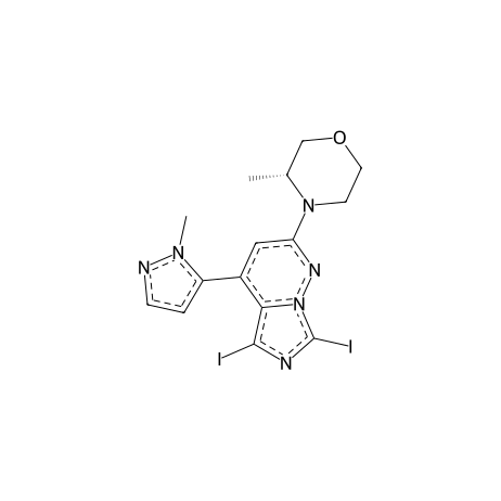 C[C@@H]1COCCN1c1cc(-c2ccnn2C)c2c(I)nc(I)n2n1